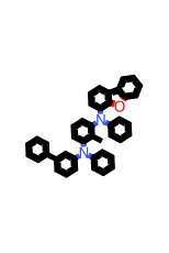 Cc1c(N(c2ccccc2)c2cccc(-c3ccccc3)c2)cccc1N(c1ccccc1)c1cccc2c1oc1ccccc12